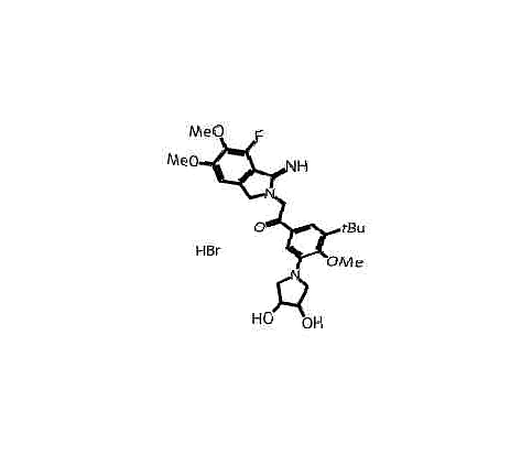 Br.COc1cc2c(c(F)c1OC)C(=N)N(CC(=O)c1cc(N3CC(O)C(O)C3)c(OC)c(C(C)(C)C)c1)C2